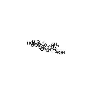 CN1C(=CC=C2CCC(C=CC3=[N+](C)c4ccc(SOOO)cc4C3(C)C)=C2N(c2ccccc2)c2ccccc2)C(C)(C)c2cc(S(=O)(=O)O)ccc21